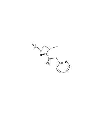 Cn1cc(C(F)(F)F)nc1N(C#N)Cc1ccccc1